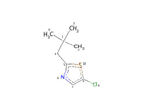 CC(C)(C)Cc1ncc(Cl)s1